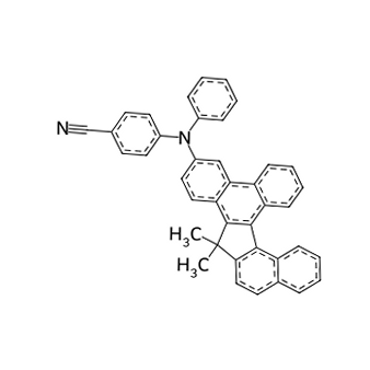 CC1(C)c2ccc3ccccc3c2-c2c1c1ccc(N(c3ccccc3)c3ccc(C#N)cc3)cc1c1ccccc21